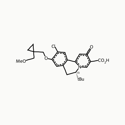 COCC1(COc2cc3c(cc2Cl)-c2cc(=O)c(C(=O)O)cn2[C@H](C(C)(C)C)C3)CC1